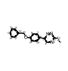 CSc1ncc(-c2ccc(OCc3ccccc3)cc2)nn1